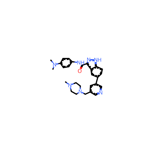 CN1CCN(Cc2cncc(-c3ccc4[nH]nc(C(=O)Nc5ccc(N(C)C)cc5)c4c3)c2)CC1